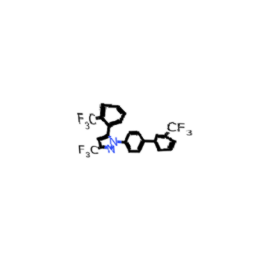 FC(F)(F)c1cccc(-c2ccc(-n3nc(C(F)(F)F)cc3-c3ccccc3C(F)(F)F)cc2)c1